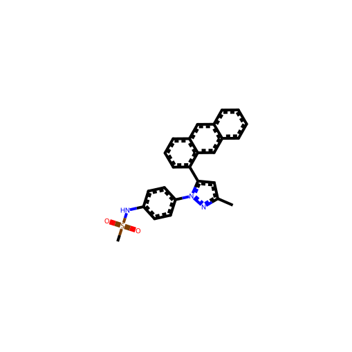 Cc1cc(-c2cccc3cc4ccccc4cc23)n(-c2ccc(NS(C)(=O)=O)cc2)n1